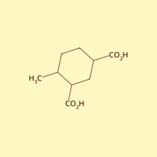 CC1CCC(C(=O)O)CC1C(=O)O